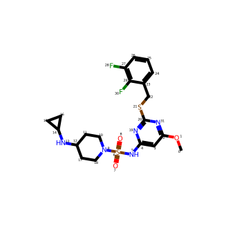 COc1cc(NS(=O)(=O)N2CCC(NC3CC3)CC2)nc(SCc2cccc(F)c2F)n1